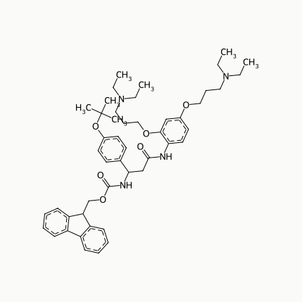 CCN(CC)CCCOc1ccc(NC(=O)CC(NC(=O)OCC2c3ccccc3-c3ccccc32)c2ccc(OC(C)(C)C)cc2)c(OCCCN(CC)CC)c1